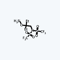 CCC(CC)(CN(S(=O)(=O)C(F)(F)F)S(=O)(=O)C(F)(F)F)O[SiH3]